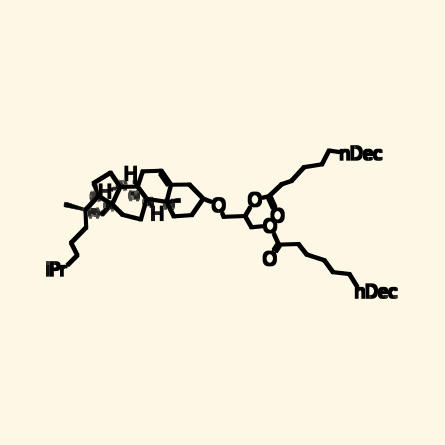 CCCCCCCCCCCCCCCC(=O)OCC(COC1CC[C@@]2(C)C(=CC[C@H]3[C@@H]4CC[C@H]([C@H](C)CCCC(C)C)[C@@]4(C)CC[C@@H]32)C1)OC(=O)CCCCCCCCCCCCCCC